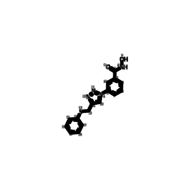 O=C(NO)c1cccc(-n2cc(CSc3ccccc3)nn2)c1